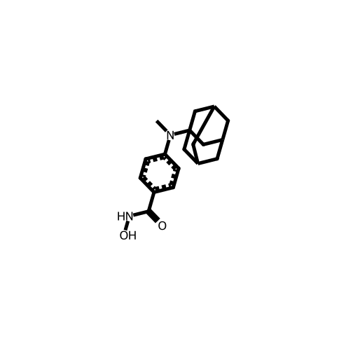 CN(c1ccc(C(=O)NO)cc1)C12CC3CC(CC(C3)C1)C2